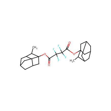 CC1C2CC3CC(C2)CC1(OC(=O)C(F)(F)C(F)(F)C(=O)OC12CC4CC(CC(C4)C1C)C2)C3